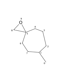 CC1CCCC2(CC1)CO2